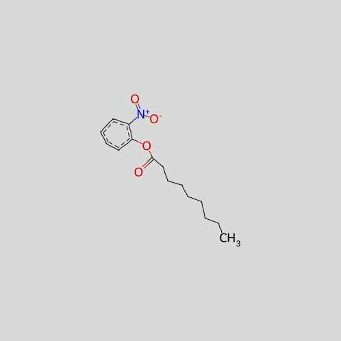 CCCCCCCCC(=O)Oc1ccccc1[N+](=O)[O-]